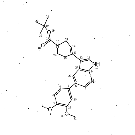 COc1ccc(-c2cnc3[nH]cc(C4=CCN(C(=O)OC(C)(C)C)CC4)c3c2)cc1OC